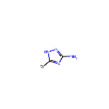 [CH2]Cc1nc(N)n[nH]1